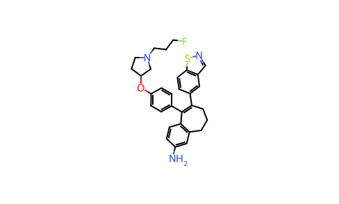 Nc1ccc2c(c1)CCCC(c1ccc3sncc3c1)=C2c1ccc(O[C@H]2CCN(CCCF)C2)cc1